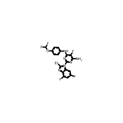 CCc1nc2c(F)cc(F)cc2n1-c1nc(N)c(F)c(Nc2ccc(OC(F)F)cc2)n1